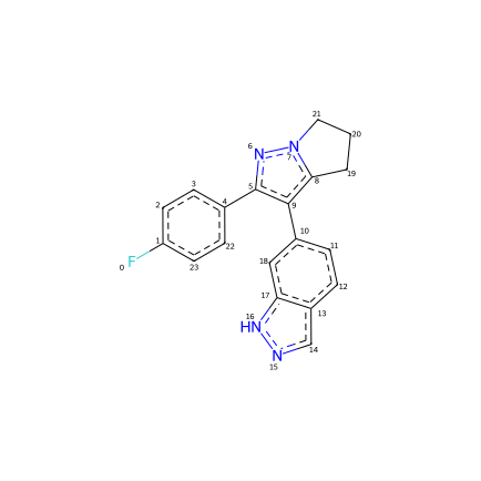 Fc1ccc(-c2nn3c(c2-c2ccc4cn[nH]c4c2)CCC3)cc1